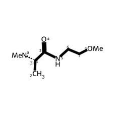 CN[C@@H](C)C(=O)NCCOC